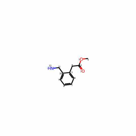 COC(=O)Cc1ccccc1C[NH]